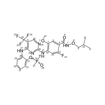 COc1cc(C(=O)NOCC(C)C)c(F)cc1Nc1ncc(C(F)(F)F)c(Nc2ccccc2OP(C)(C)=O)n1